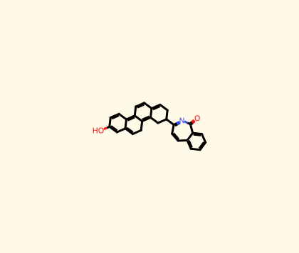 O=c1nc(C2CC=c3ccc4c(c3C2)CC=c2cc(O)ccc2=4)ccc2ccccc12